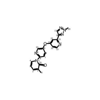 Cc1cccn(-c2ccc(Oc3ccnc(-c4cnn(C)n4)c3)cn2)c1=O